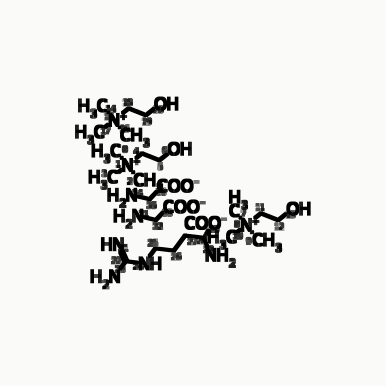 C[N+](C)(C)CCO.C[N+](C)(C)CCO.C[N+](C)(C)CCO.N=C(N)NCCC[C@H](N)C(=O)[O-].NCC(=O)[O-].NCC(=O)[O-]